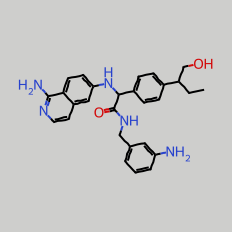 CCC(CO)c1ccc(C(Nc2ccc3c(N)nccc3c2)C(=O)NCc2cccc(N)c2)cc1